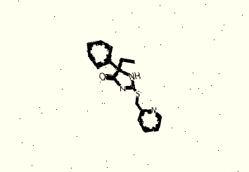 CCC1(c2ccccc2)NC(SCc2ccccn2)=NC1=O